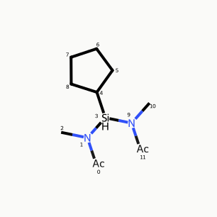 CC(=O)N(C)[SiH](C1CCCC1)N(C)C(C)=O